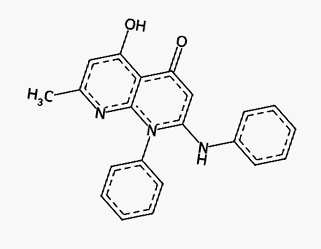 Cc1cc(O)c2c(=O)cc(Nc3ccccc3)n(-c3ccccc3)c2n1